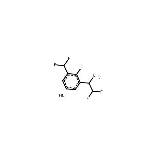 Cl.NC(c1cccc(C(F)F)c1F)C(F)F